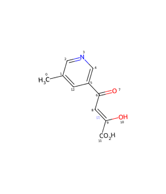 Cc1cncc(C(=O)/C=C(\O)C(=O)O)c1